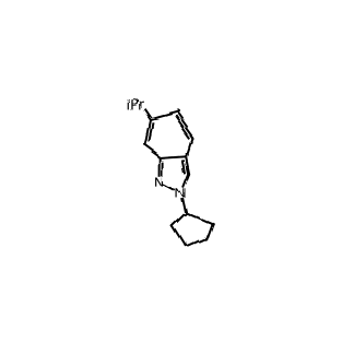 CC(C)c1ccc2cn(C3CCCC3)nc2c1